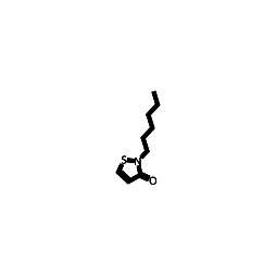 CCCCCCn1sccc1=O